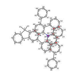 CC1(C)c2ccccc2-c2cc(-c3ccccc3N(c3ccccc3-c3ccc(-c4ccccc4)cc3)c3cccc(-c4ccccc4)c3-c3ccccc3-c3ccccc3)ccc21